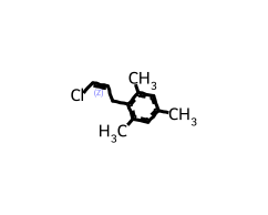 Cc1cc(C)c(C/C=C\Cl)c(C)c1